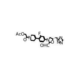 CC(=O)OCC(=O)N1CC=C(c2ccc(N3C[C@H](Cn4ncnn4)OC3C=O)cc2F)CC1